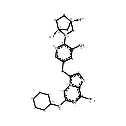 Cc1cc(Cc2cnc3c(N)nc(OC4CCCCC4)nn23)cnc1N1C[C@H]2CC[C@@H]1C2